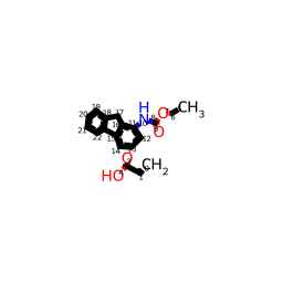 C=CC(=O)O.CCOC(=O)Nc1cccc2c1Cc1ccccc1-2